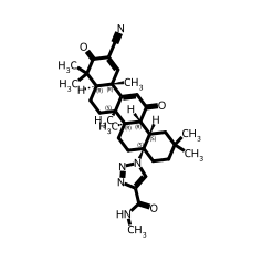 CNC(=O)c1cn([C@]23CCC(C)(C)C[C@H]2[C@H]2C(=O)C=C4[C@@]5(C)C=C(C#N)C(=O)C(C)(C)[C@@H]5CC[C@@]4(C)[C@]2(C)CC3)nn1